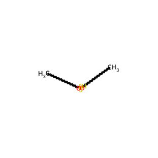 CCCCCCCCCCCCCCCCCCCCCCCOP(=S)(S)OCCCCCCCCCCCCCCCCCCCCCCC